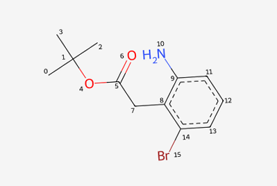 CC(C)(C)OC(=O)Cc1c(N)cccc1Br